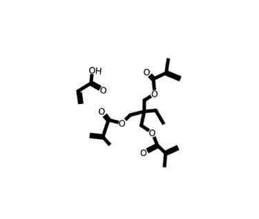 C=C(C)C(=O)OCC(CC)(COC(=O)C(=C)C)COC(=O)C(=C)C.C=CC(=O)O